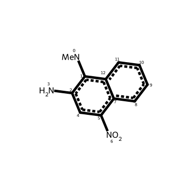 CNc1c(N)cc([N+](=O)[O-])c2ccccc12